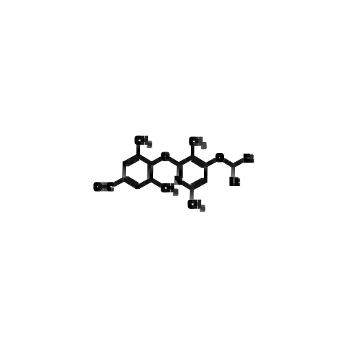 CCC(CC)Oc1cc(C)nc(Oc2c(C)cc(C=O)cc2C)c1C